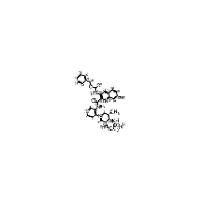 C[C@H]1CN(c2ccncc2NC(=O)c2nc3cc(Br)ccc3cc2NC(=O)OCc2ccccc2)C[C@@H](NC(=O)O)[C@H]1NC(=O)O